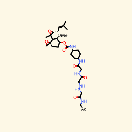 COC1C(OC(=O)N[C@H]2CC[C@H](NC(=O)CNC(=O)CNNCC(=O)NCC(C)=O)CC2)CC[C@]2(CO2)C1C1(C)O[C@@H]1CC=C(C)C